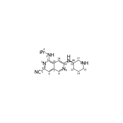 CC(C)Nc1nc(C#N)cc2cnc(N[C@@H]3CCCNC3)cc12